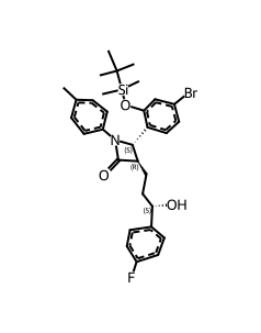 Cc1ccc(N2C(=O)[C@H](CC[C@H](O)c3ccc(F)cc3)[C@H]2c2ccc(Br)cc2O[Si](C)(C)C(C)(C)C)cc1